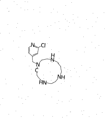 Clc1cc(CN2CCCNCCNCCCNCC2)ccn1